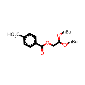 CCCCOC(COC(=O)c1ccc(C(=O)O)cc1)OCCCC